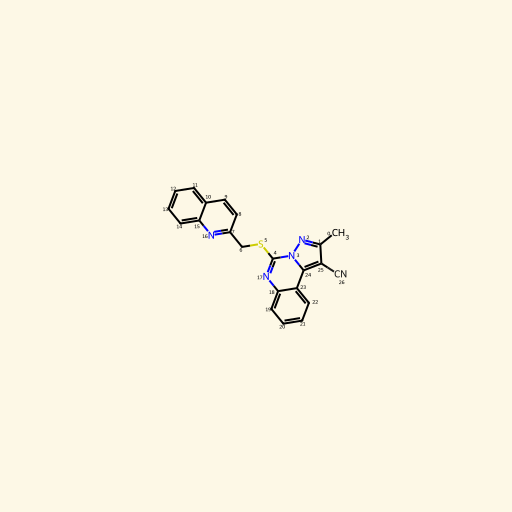 Cc1nn2c(SCc3ccc4ccccc4n3)nc3ccccc3c2c1C#N